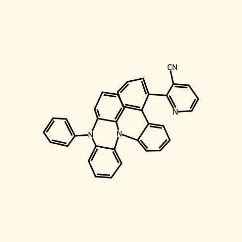 N#Cc1cccnc1-c1ccccc1-c1ccccc1N1c2ccccc2N(c2ccccc2)c2ccccc21